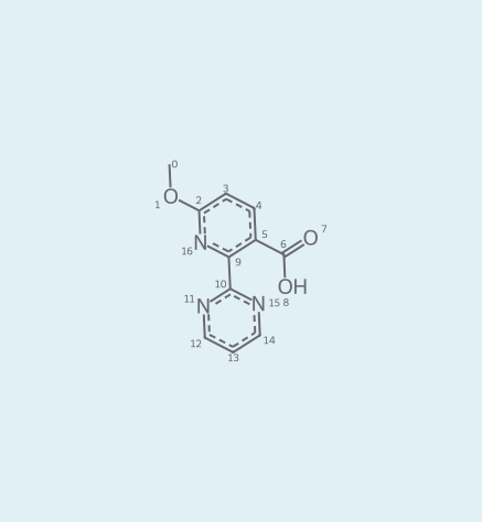 COc1ccc(C(=O)O)c(-c2ncccn2)n1